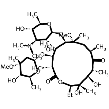 CC[C@H]1OC(=O)[C@H](C)[C@@H](O[C@H]2C[C@@](C)(OC)[C@@H](O)[C@H](C)O2)[C@H](C)[C@@H](O[C@@H]2O[C@H](C)[C@@H](O)[C@H](N(C)C)[C@H]2O)[C@](C)(OC)C[C@@H](C)C(=O)[C@H](C)[C@@H](O)[C@]1(C)O